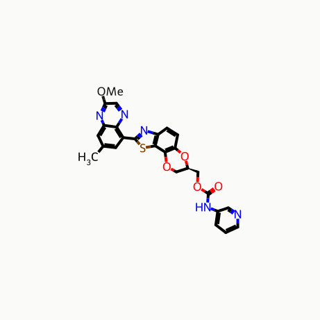 COc1cnc2c(-c3nc4ccc5c(c4s3)OC[C@H](COC(=O)Nc3cccnc3)O5)cc(C)cc2n1